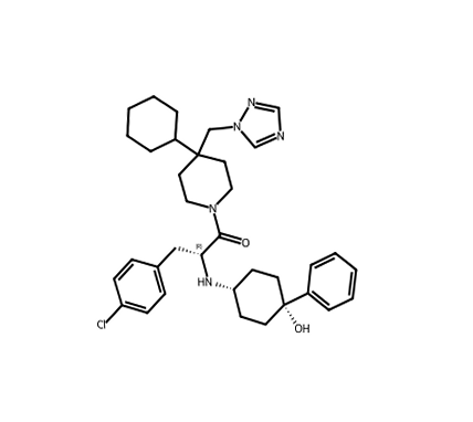 O=C([C@@H](Cc1ccc(Cl)cc1)N[C@H]1CC[C@](O)(c2ccccc2)CC1)N1CCC(Cn2cncn2)(C2CCCCC2)CC1